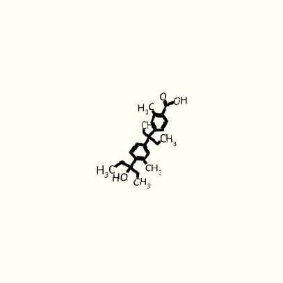 CCC(O)(CC)c1ccc(C(CC)(CC)c2ccc(C(=O)O)c(C)c2)cc1C